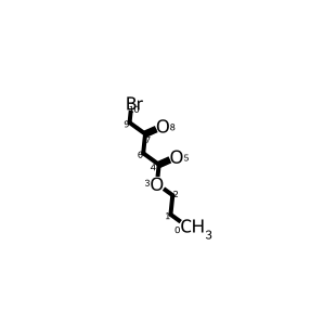 CCCOC(=O)CC(=O)CBr